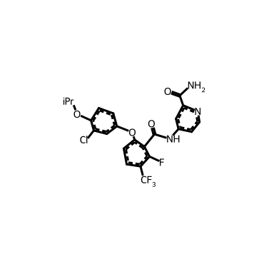 CC(C)Oc1ccc(Oc2ccc(C(F)(F)F)c(F)c2C(=O)Nc2ccnc(C(N)=O)c2)cc1Cl